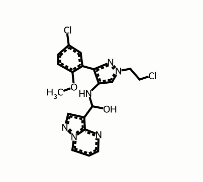 COc1ccc(Cl)cc1-c1nn(CCCl)cc1NC(O)c1cnn2cccnc12